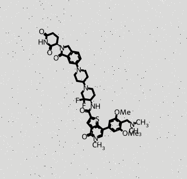 COc1cc(-c2cn(C)c(=O)c3cc(C(=O)N[C@@H]4CCN(C5CCN(c6ccc7c(c6)C(=O)N([C@@H]6CCC(=O)NC6=O)C7)CC5)CC4(F)F)sc23)cc(OC)c1CN(C)C